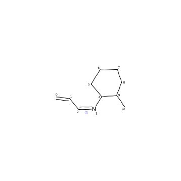 C=C/C=N\C1CCCCC1C